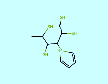 CC(S)C(S)C(C(S)CS)[SH]1C=CC=C1